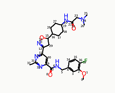 COc1cc(CNC(=O)c2cc(C3=NOC(C4CCC(NC(=O)CN(C)C)CC4)C3)nc(C)n2)ccc1F